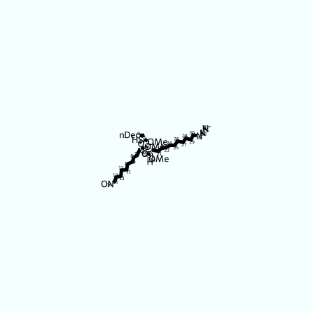 CCCCCCCCCCC[SiH](OC)O[Si](CCCCCCCCCCN=O)(OC)O[SiH](CCCCCCCCCCCN=[N+]=[N-])OC